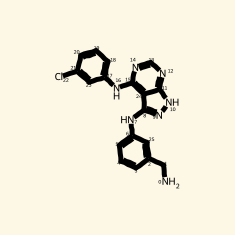 NCc1cccc(Nc2n[nH]c3ncnc(Nc4cccc(Cl)c4)c23)c1